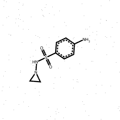 Nc1ccc(S(=O)(=O)NN2CC2)cc1